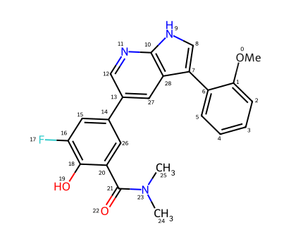 COc1ccccc1-c1c[nH]c2ncc(-c3cc(F)c(O)c(C(=O)N(C)C)c3)cc12